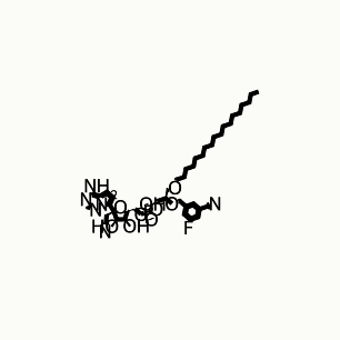 CCCCCCCCCCCCCCCCCCOC[C@H](COP(=O)(O)OC[C@H]1O[C@@](CC#N)(c2ccc3c(N)ncnn23)[C@H](O)[C@@H]1O)OCc1cc(F)cc(C#N)c1